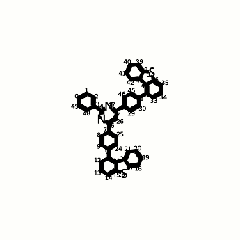 c1ccc(-c2nc(-c3ccc(-c4cccc5sc6ccccc6c45)cc3)cc(-c3ccc(-c4cccc5sc6ccccc6c45)cc3)n2)cc1